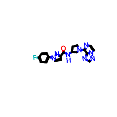 O=C(NC1CCN(c2nccn3ncnc23)C1)c1ccn(-c2ccc(F)cc2)n1